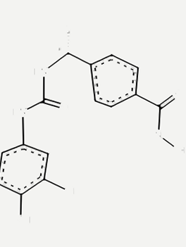 Cc1ccc(NC(=O)N[C@H](C)c2ccc(C(=O)NO)cc2)cc1C